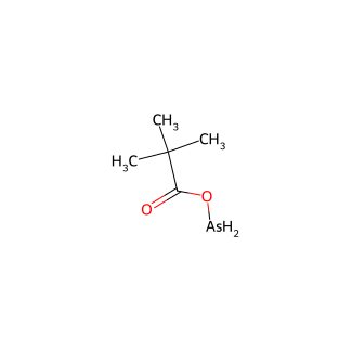 CC(C)(C)C(=O)O[AsH2]